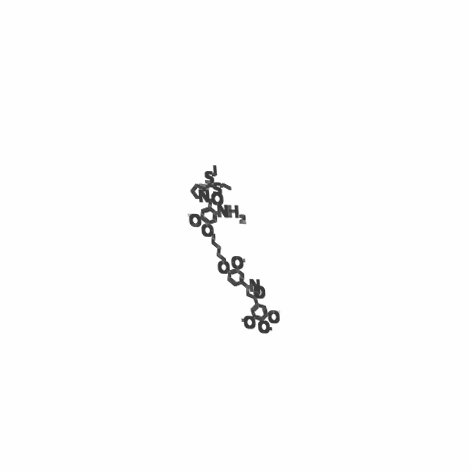 CCSC(SCC)[C@@H]1CCCN1C(=O)c1cc(OC)c(OCCCCCOc2ccc(C3=NOC(c4cc(OC)c(OC)c(OC)c4)C3)cc2OC)cc1N